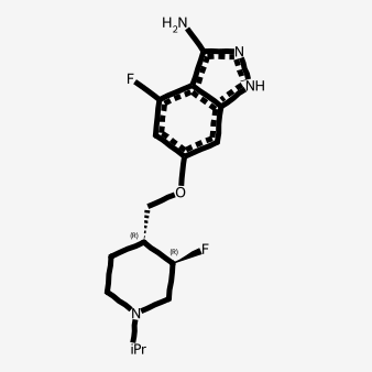 CC(C)N1CC[C@H](COc2cc(F)c3c(N)n[nH]c3c2)[C@@H](F)C1